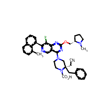 Cc1cccc2cccc(-c3ncc4c(N5CCN(C(=O)O)[C@](CC#N)(Cc6ccccc6)C5)nc(OC[C@@H]5CCCN5C)nc4c3F)c12